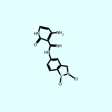 CCN1Cc2cc(NC(=N)c3c(N)cc[nH]c3=O)ccc2[S+]1[O-]